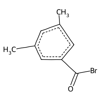 Cc1cc(C)cc(C(=O)Br)c1